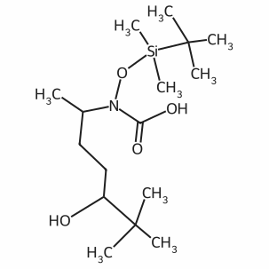 CC(CCC(O)C(C)(C)C)N(O[Si](C)(C)C(C)(C)C)C(=O)O